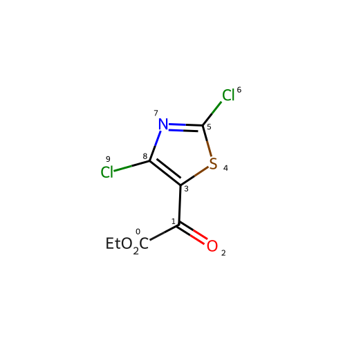 CCOC(=O)C(=O)c1sc(Cl)nc1Cl